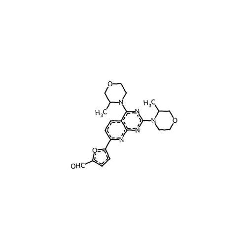 CC1COCCN1c1nc(N2CCOCC2C)c2ccc(-c3ccc(C=O)o3)nc2n1